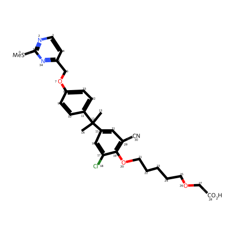 CSc1nccc(COc2ccc(C(C)(C)c3cc(Cl)c(OCCCCCOCC(=O)O)c(C#N)c3)cc2)n1